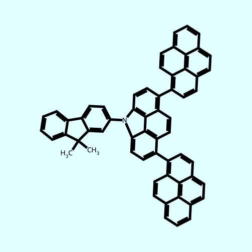 CC1(C)c2ccccc2-c2ccc(-n3c4ccc(-c5ccc6ccc7cccc8ccc5c6c78)c5ccc6c(-c7ccc8ccc9cccc%10ccc7c8c9%10)ccc3c6c54)cc21